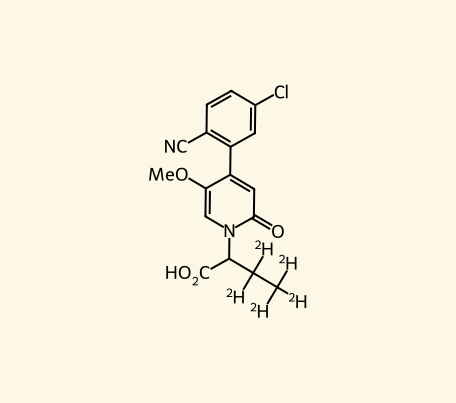 [2H]C([2H])([2H])C([2H])([2H])C(C(=O)O)n1cc(OC)c(-c2cc(Cl)ccc2C#N)cc1=O